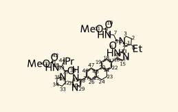 CC[C@@H]1CCN(C(=O)CNC(=O)OC)[C@@H]1c1ncc(-c2ccc3c(c2)CCc2cc(-c4cnc([C@@H]5CCCN5C(=O)C(NC(=O)OC)C(C)C)[nH]4)ccc2-3)[nH]1